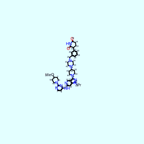 COC1CCN(c2nccc(Nc3cc4c(cn3)c(N3CCC(N5CCN(Cc6cccc(C7CCC(=O)NC7=O)c6)CC5)CC3)nn4C(C)C)n2)CC1